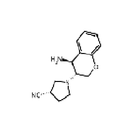 N#C[C@H]1CCN([C@H]2COc3ccccc3[C@@H]2N)C1